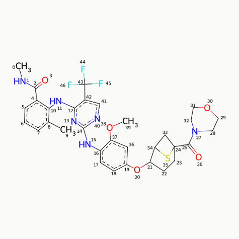 CNC(=O)c1cccc(C)c1Nc1nc(Nc2ccc(OC3CCC4(C(=O)N5CCOCC5)CC3S4)cc2OC)ncc1C(F)(F)F